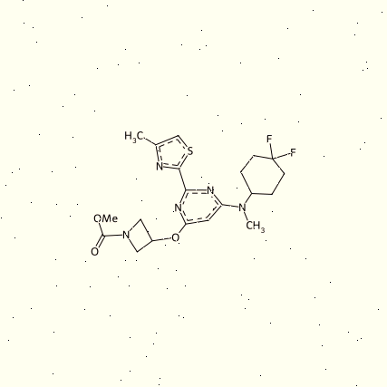 COC(=O)N1CC(Oc2cc(N(C)C3CCC(F)(F)CC3)nc(-c3nc(C)cs3)n2)C1